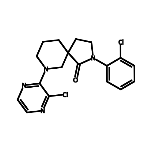 O=C1N(c2ccccc2Cl)CCC12CCCN(c1nccnc1Cl)C2